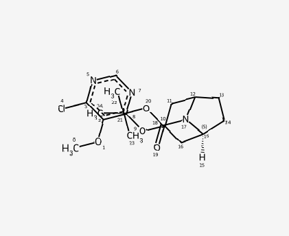 COc1c(Cl)ncnc1OC1CC2CC[C@@H](C1)N2C(=O)OC(C)(C)C